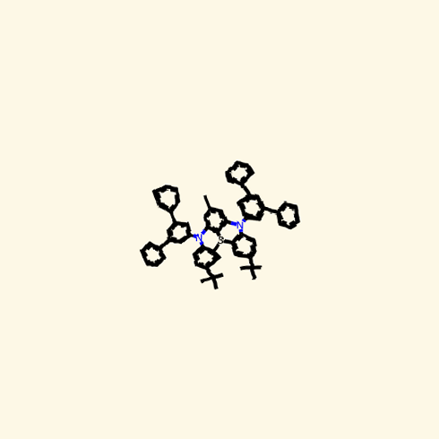 Cc1cc2c3c(c1)N(c1cc(-c4ccccc4)cc(-c4ccccc4)c1)c1ccc(C(C)(C)C)cc1B3c1cc(C(C)(C)C)ccc1N2c1cc(-c2ccccc2)cc(-c2ccccc2)c1